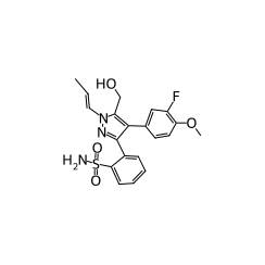 CC=Cn1nc(-c2ccccc2S(N)(=O)=O)c(-c2ccc(OC)c(F)c2)c1CO